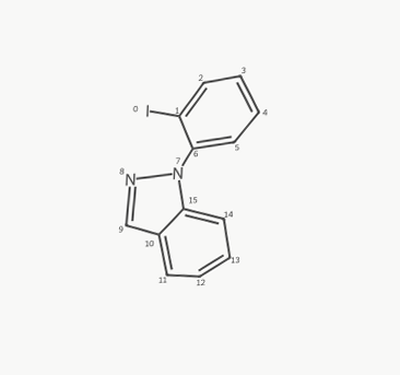 Ic1ccccc1-n1ncc2ccccc21